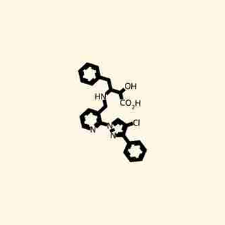 O=C(O)C(O)C(Cc1ccccc1)NCc1cccnc1-n1cc(Cl)c(-c2ccccc2)n1